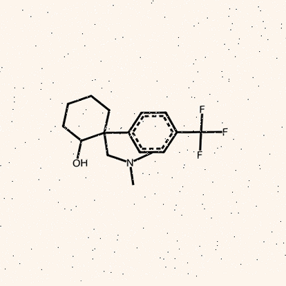 CN(C)CC1(c2ccc(C(F)(F)F)cc2)CCCCC1O